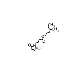 CCC(C)CCCOC(=O)CCCN1C(=O)C=CC1=O